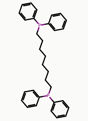 c1ccc(P(CCCCCCCCP(c2ccccc2)c2ccccc2)c2ccccc2)cc1